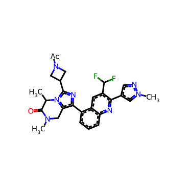 CC(=O)N1CC(c2nc(-c3cccc4nc(-c5cnn(C)c5)c(C(F)F)cc34)c3n2C(C)C(=O)N(C)C3)C1